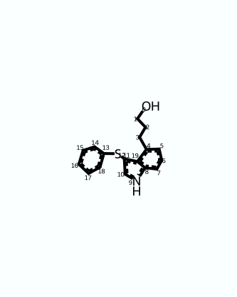 OCCCc1cccc2[nH]cc(Sc3ccccc3)c12